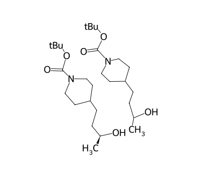 CC(O)CCC1CCN(C(=O)OC(C)(C)C)CC1.C[C@H](O)CCC1CCN(C(=O)OC(C)(C)C)CC1